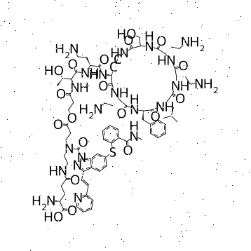 CNC(=O)c1ccccc1Sc1ccc2c(/C=C/c3ccccn3)nn(C(=O)N(CCNC(=O)CC[C@H](N)C(=O)O)CCC(=O)OCCC(=O)N[C@H](C(=O)N[C@@H](CCN)C(=O)N[C@H]3CCNC(=O)C([C@@H](C)O)NC(=O)[C@H](CCN)NC(=O)[C@H](CCN)NC(=O)[C@H](CC(C)C)NC(=O)[C@@H](Cc4ccccc4)NC(=O)[C@H](CCN)NC3=O)[C@@H](C)O)c2c1